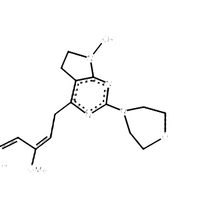 C/C=C\C(=C/Cc1nc(N2CCOCC2)nc2c1CCN2C)OC